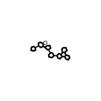 c1ccc(-c2ccc3oc4ccc(-c5cccc(-c6ccc7c8ccccc8c8ccccc8c7c6)c5)cc4c3c2)cc1